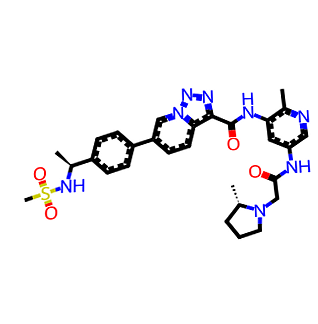 Cc1ncc(NC(=O)CN2CCC[C@@H]2C)cc1NC(=O)c1nnn2cc(-c3ccc([C@H](C)NS(C)(=O)=O)cc3)ccc12